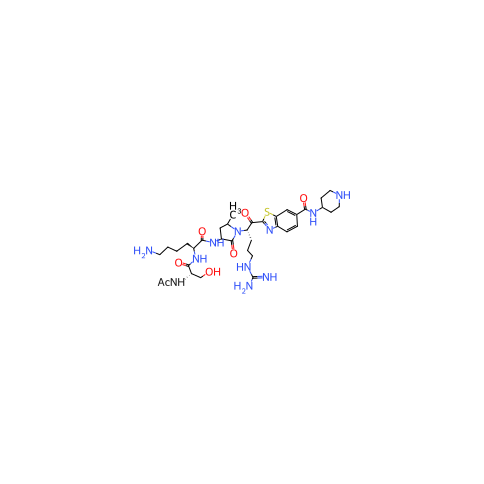 CC(=O)N[C@@H](CO)C(=O)N[C@@H](CCCCN)C(=O)N[C@H]1CC(C)N([C@@H](CCCNC(=N)N)C(=O)c2nc3ccc(C(=O)NC4CCNCC4)cc3s2)C1=O